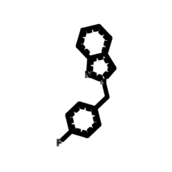 Fc1ccc(Cn2cc3ccccc3n2)cc1